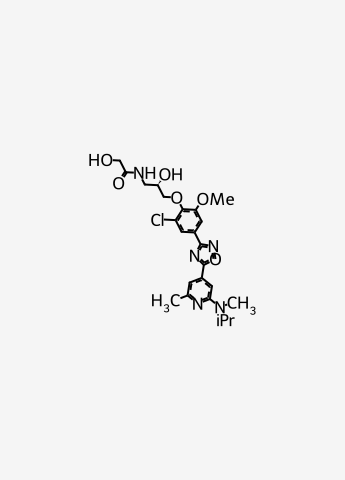 COc1cc(-c2noc(-c3cc(C)nc(N(C)C(C)C)c3)n2)cc(Cl)c1OC[C@@H](O)CNC(=O)CO